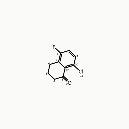 O=C1CCCc2c(F)ccc(Cl)c21